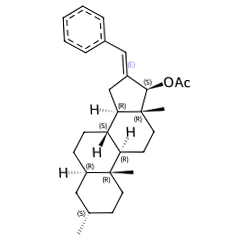 CC(=O)O[C@@H]1/C(=C/c2ccccc2)C[C@@H]2[C@H]3CC[C@@H]4C[C@@H](C)CC[C@@]4(C)[C@@H]3CC[C@@]12C